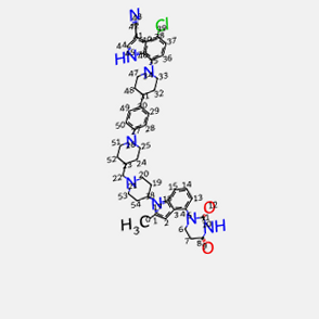 Cc1cc2c(N3CCC(=O)NC3=O)cccc2n1C1CCN(CC2CCN(c3ccc(C4CCN(c5ccc(Cl)c6c(C#N)c[nH]c56)CC4)cc3)CC2)CC1